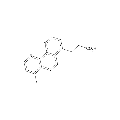 Cc1ccnc2c1ccc1c(CCC(=O)O)ccnc12